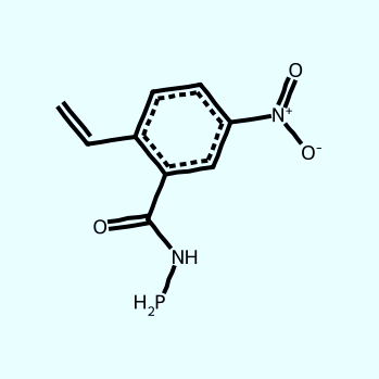 C=Cc1ccc([N+](=O)[O-])cc1C(=O)NP